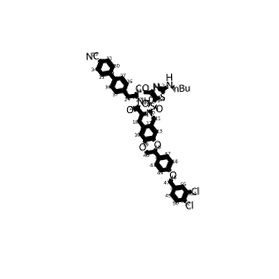 CCCCNc1nc(C)c(S(=O)(=O)N2Cc3cc4c(cc3CC2C(=O)NC(Cc2ccc(-c3ccc(C#N)cc3)cc2)C(=O)O)OCC(c2ccc(OCc3ccc(Cl)c(Cl)c3)cc2)O4)s1